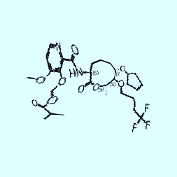 COc1ccnc(C(=O)N[C@H]2CCC[C@H](OC3CCCC3)[C@@H](OCCCC(F)(F)F)[C@H](C)OC2=O)c1OCOC(=O)C(C)C